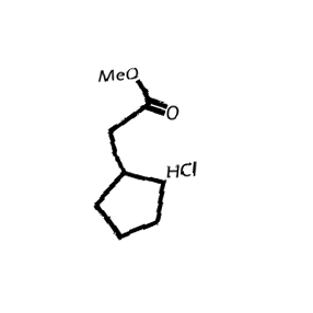 COC(=O)CC1CCCC1.Cl